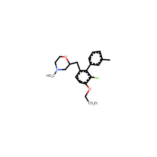 CCOC(=O)COc1ccc(CC2CN(C(=O)O)CCO2)c(-c2cccc(C)c2)c1F